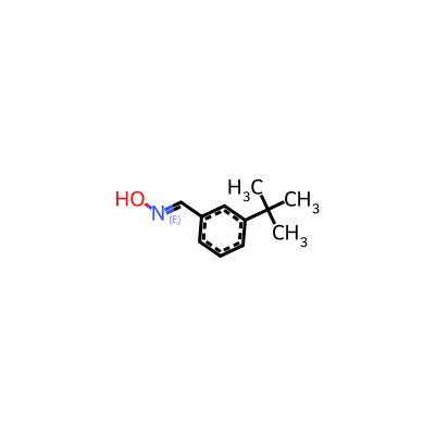 CC(C)(C)c1cccc(/C=N/O)c1